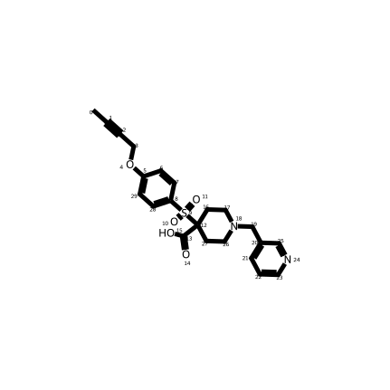 CC#CCOc1ccc(S(=O)(=O)C2(C(=O)O)CCN(Cc3cccnc3)CC2)cc1